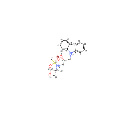 CC1(N(CC(O)Cn2c3ccccc3c3ccccc32)S(C)(=O)=O)COC1